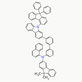 CC1(C)c2ccccc2-c2cc(N(c3cccc(-c4cccc(-c5ccc6c7ccccc7n(-c7cccc8c7-c7ccccc7C8(c7ccccc7)c7ccccc7)c6c5)c4)c3)c3cccc4ccccc34)ccc21